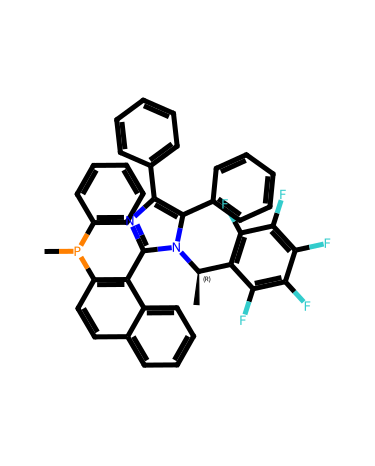 C[C@H](c1c(F)c(F)c(F)c(F)c1F)n1c(-c2c(P(C)c3ccccc3)ccc3ccccc23)nc(-c2ccccc2)c1-c1ccccc1